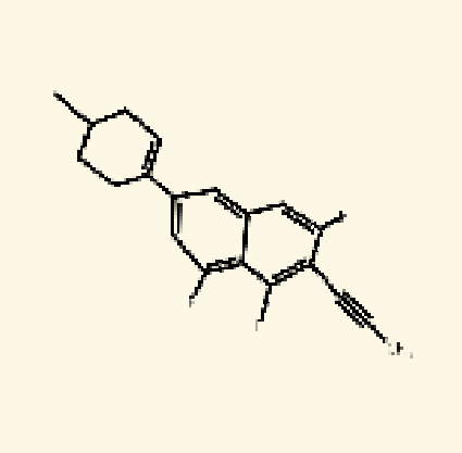 CC1CC=C(c2cc(F)c3c(F)c(C#CC(F)(F)F)c(F)cc3c2)CC1